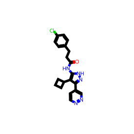 O=C(CCc1ccc(Cl)cc1)Nc1[nH]nc(-c2ccnnc2)c1C1CCC1